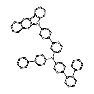 c1ccc(-c2ccc(N(c3ccc(-c4ccccc4-c4ccccc4)cc3)c3cccc(-c4ccc(-n5c6ccccc6c6cc7ccccc7cc65)cc4)c3)cc2)cc1